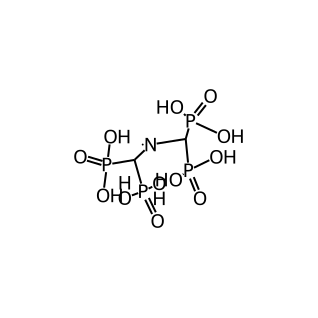 O=P(O)(O)C([N]C(P(=O)(O)O)P(=O)(O)O)P(=O)(O)O